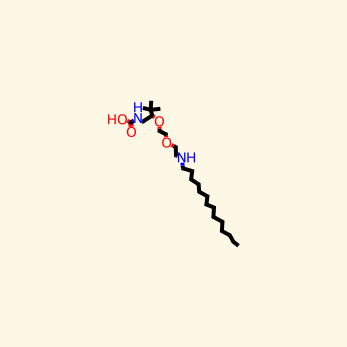 CCCCCCCCCCCCCCNCCOCCOC(CNC(=O)O)C(C)(C)C